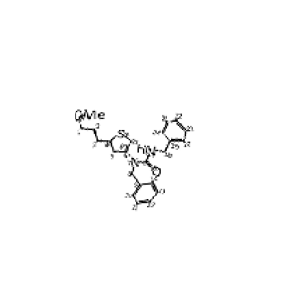 COCCC[C@@H]1C[C@@H](N(Cc2ccccc2)C(=O)NCc2ccccc2)CS1